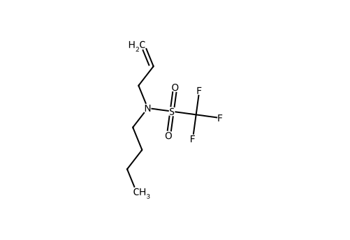 C=CCN(CCCC)S(=O)(=O)C(F)(F)F